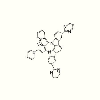 c1ccc(-c2cc(-n3c4ccc(-c5ncccn5)cc4c4ccc5c6cc(-c7ncccn7)ccc6n(-c6ccccc6)c5c43)cc(-c3ccccc3)n2)cc1